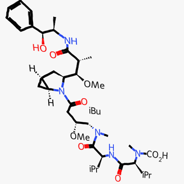 CC[C@H](C)[C@@H]([C@@H](CC(=O)N1[C@H]2C[C@H]2C[C@H]1[C@H](OC)[C@@H](C)C(=O)N[C@H](C)[C@@H](O)c1ccccc1)OC)N(C)C(=O)[C@@H](NC(=O)[C@H](C(C)C)N(C)C(=O)O)C(C)C